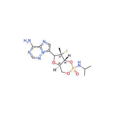 CC(C)NP1(=O)OC[C@H]2OC(c3cnc4c(N)ncnn34)[C@](C)(F)[C@@H]2O1